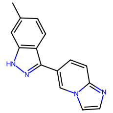 Cc1ccc2c(-c3ccc4nccn4c3)n[nH]c2c1